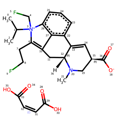 CC(C)[N+]1(CF)C(CCF)=C2C[C@@H]3C(=C[C@@H](C(=O)[O-])CN3C)c3cccc1c32.O=C(O)/C=C\C(=O)O